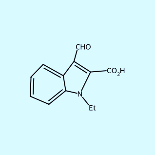 CCn1c(C(=O)O)c(C=O)c2ccccc21